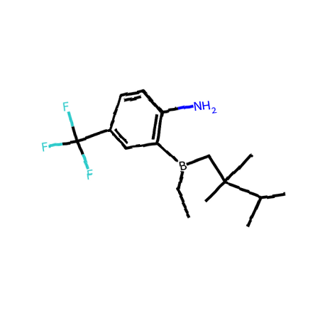 CCB(CC(C)(C)C(C)C)c1cc(C(F)(F)F)ccc1N